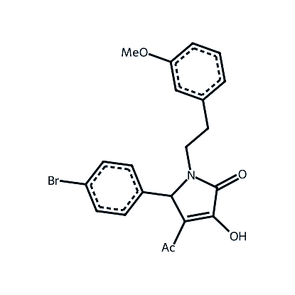 COc1cccc(CCN2C(=O)C(O)=C(C(C)=O)C2c2ccc(Br)cc2)c1